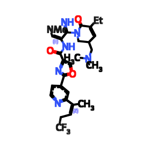 CCC1=CC(CN(C)C)CN(C(=N)/C(=C\NC)NC(=O)c2coc(-c3ccnc(/C(C)=C\CC(F)(F)F)c3)n2)C1=O